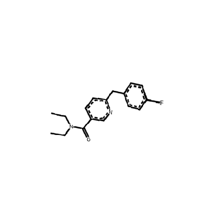 CCN(CC)C(=O)c1ccc(Cc2ccc(F)cc2)nc1